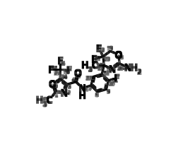 Cc1nc(C(=O)Nc2ccc(F)c(C3(C)N=C(N)OCC3(F)F)c2)c(C(F)(F)F)o1